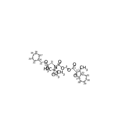 Cc1c(C(=O)OCOC(=O)N(CC(=O)OCc2ccccc2)C(C)(C)C)oc2ccccc12